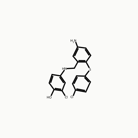 Nc1ccc(Sc2ccc(Cl)cc2)c(CNc2ccc(O)c(Cl)c2)c1